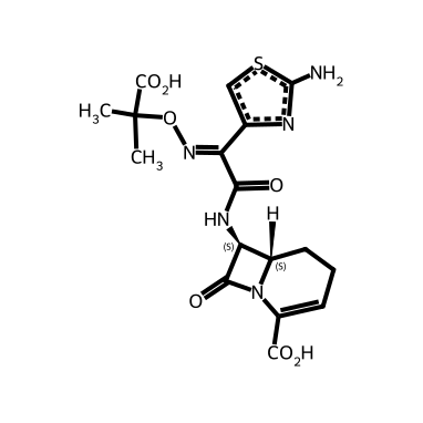 CC(C)(ON=C(C(=O)N[C@@H]1C(=O)N2C(C(=O)O)=CCC[C@@H]12)c1csc(N)n1)C(=O)O